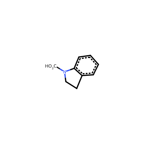 O=C(O)N1CCc2ccccc21